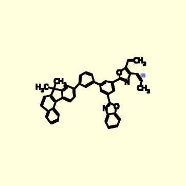 C=Cc1oc(-c2cc(-c3cccc(-c4ccc5c(c4)C(C)(C)c4ccc6ccccc6c4-5)c3)cc(-c3nc4ccccc4o3)c2)nc1/C=C\C